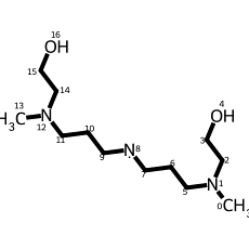 CN(CCO)CCC[N]CCCN(C)CCO